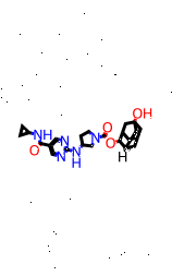 O=C(NC1CC1)c1cnc(NC2CCN(C(=O)OC3C4CC5C[C@@H]3CC(O)(C5)C4)C2)nc1